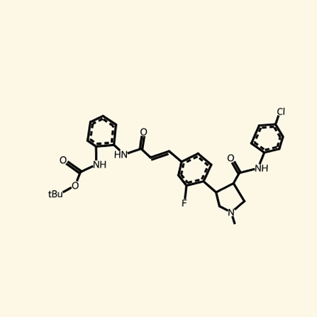 CN1CC(C(=O)Nc2ccc(Cl)cc2)C(c2ccc(/C=C/C(=O)Nc3ccccc3NC(=O)OC(C)(C)C)cc2F)C1